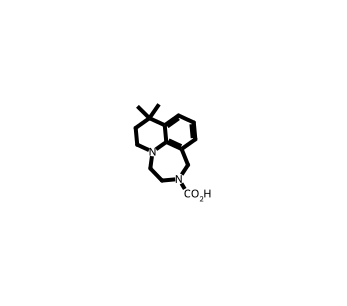 CC1(C)CCN2CCN(C(=O)O)Cc3cccc1c32